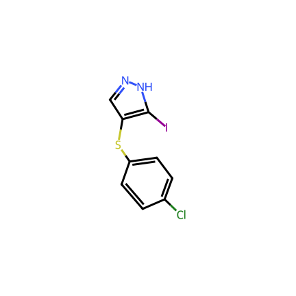 Clc1ccc(Sc2cn[nH]c2I)cc1